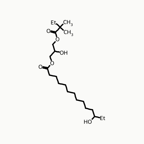 CCC(O)CCCCCCCCCCC(=O)OCC(O)COC(=O)C(C)(C)CC